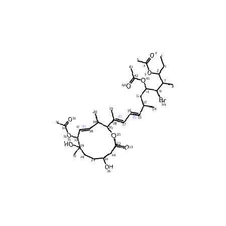 CCC(OC(C)=O)C(C)C(Br)C(CC(C)/C=C/C=C(\C)C1OC(=O)CC(O)CCC(C)(O)C(OC(C)=O)/C=C/C1C)OC(C)=O